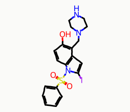 O=S(=O)(c1ccccc1)n1c(I)cc2c(CN3CCNCC3)c(O)ccc21